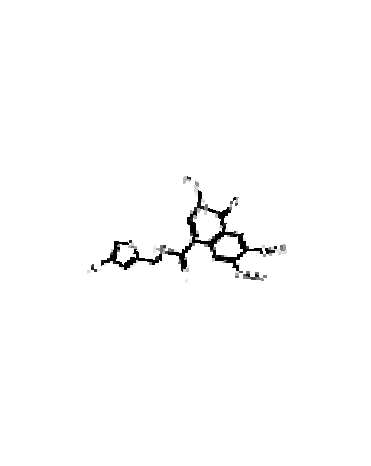 CCn1cc(C(=O)NCc2cc(C)cs2)c2cc(OC)c(OC)cc2c1=O